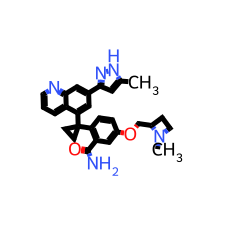 Cc1cc(-c2cc(C3(c4ccc(OCC5CCN5C)cc4C(N)=O)CC3)c3cccnc3c2)n[nH]1